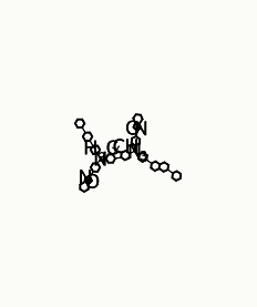 CC1(C)c2cc(N(c3ccc(-c4ccc(-c5ccccc5)cc4)cc3)c3ccc(-c4nc5ccccc5o4)cc3)ccc2-c2ccc(N(c3ccc(-c4ccc5cc(-c6ccccc6)ccc5c4)cc3)c3ccc(-c4nc5ccccc5o4)cc3)cc21